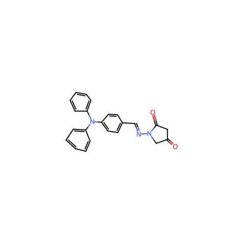 O=C1CC(=O)N(/N=C/c2ccc(N(c3ccccc3)c3ccccc3)cc2)C1